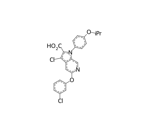 CC(C)Oc1ccc(-n2c(C(=O)O)c(Cl)c3cc(Oc4cccc(Cl)c4)ncc32)cc1